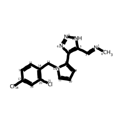 C/N=C/c1[nH]nnc1-c1cccn1Cc1ccc(Cl)cc1Cl